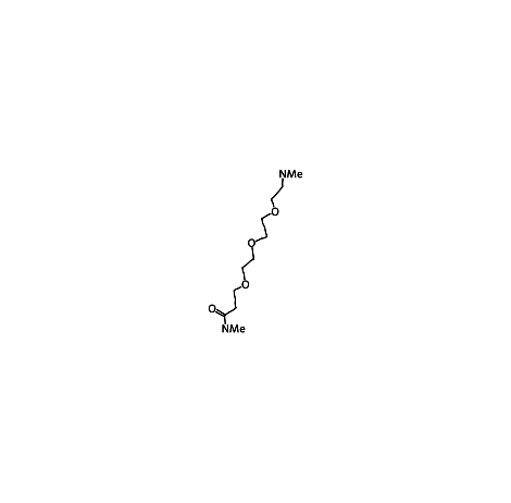 CNCCOCCOCCOCCC(=O)NC